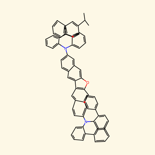 CC(C)c1ccc(-c2ccccc2N(c2ccc3cc4c(cc3c2)oc2cc3cc(N(c5ccccc5-c5ccccc5)c5ccccc5-c5ccccc5)ccc3cc24)c2ccccc2-c2ccccc2)cc1